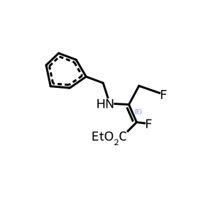 CCOC(=O)/C(F)=C(/CF)NCc1ccccc1